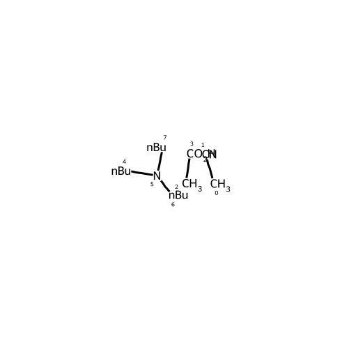 CC#N.CC(=O)O.CCCCN(CCCC)CCCC